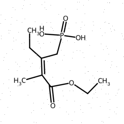 CCOC(=O)C(C)=C(CC)CP(=O)(O)O